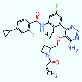 C=CC(=O)N1CCC1COc1c(N)ncnc1-c1cc(F)cc(NC(=O)c2ccc(C3CC3)cc2F)c1C